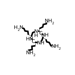 NCCCC[C@@H]1CN[C@H](CCCCN)CN[C@H](CCCCN)CN[C@H](CCCCN)CN1